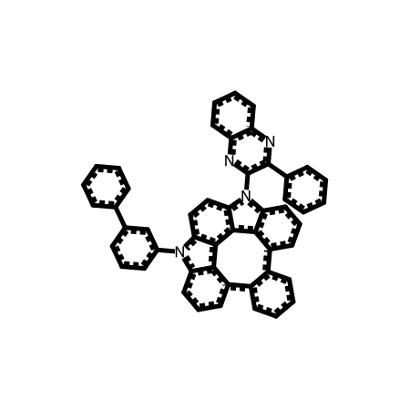 c1ccc(-c2cccc(-n3c4cccc5c6ccccc6c6cccc7c6c6c(c54)c3ccc6n7-c3nc4ccccc4nc3-c3ccccc3)c2)cc1